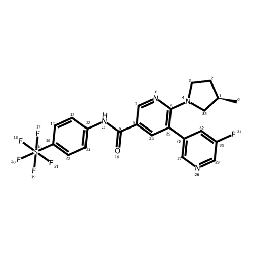 C[C@@H]1CCN(c2ncc(C(=O)Nc3ccc(S(F)(F)(F)(F)F)cc3)cc2-c2cncc(F)c2)C1